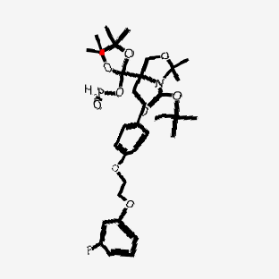 CC(C)(C)OC(=O)N1C(C)(C)OCC1(CCc1ccc(OCCOc2cccc(F)c2)cc1)C(O[PH2]=O)(OC(C)(C)C)OC(C)(C)C